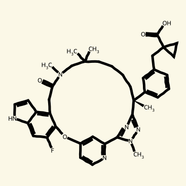 CN1CC(C)(C)CCCC[C@](C)(c2cccc(CC3(C(=O)O)CC3)c2)c2nc(n(C)n2)-c2cc(ccn2)Oc2c(F)cc3[nH]ccc3c2CC1=O